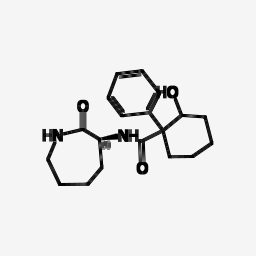 O=C1NCCCC[C@@H]1NC(=O)C1(c2ccccc2)CCCCC1O